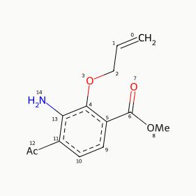 C=CCOc1c(C(=O)OC)ccc(C(C)=O)c1N